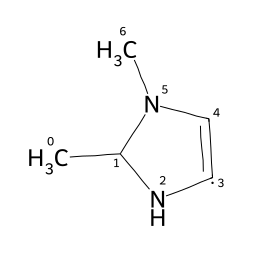 CC1N[C]=CN1C